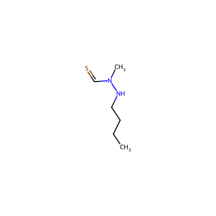 CCCCNN(C)C=S